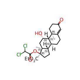 CCOC(=O)[C@@]1(OC(=O)C(Cl)Cl)CC[C@H]2[C@@H]3CCC4=CC(=O)CC[C@]4(C)[C@H]3[C@@H](O)C[C@@]21C